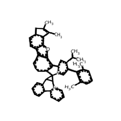 CC1=C(C)c2c(ccc3c2oc2c4c(ccc23)C2(C3c5ccccc5-c5cccc[n+]5C32)[n+]2cc(-c3c(C)cccc3C)c(C(C)C)cc2-4)C1